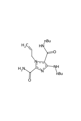 C=CCn1c(C(N)=O)nc(NCCCC)c1C(=O)NCCCC